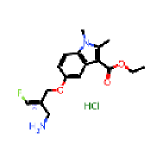 CCOC(=O)c1c(C)n(C)c2ccc(OC/C(=C\F)CN)cc12.Cl